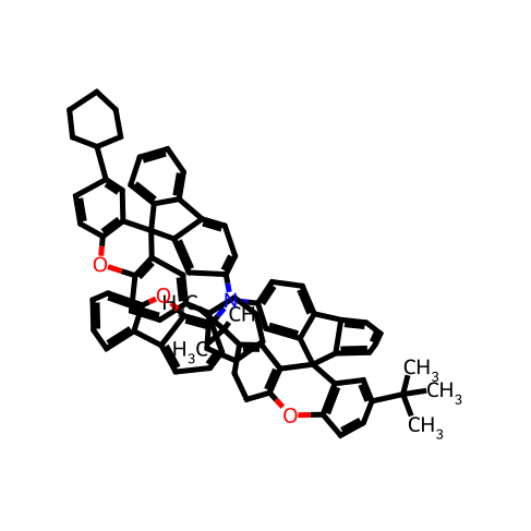 CC(C)(C)C1=CC2=C(CC1)Oc1ccc(C(C)(C)C)cc1C21c2ccccc2-c2ccc(N(c3ccc4c(c3)C3(c5cc(C6CCCCC6)ccc5Oc5ccc(C6CCCCC6)cc53)c3ccccc3-4)c3cccc4c3oc3ccccc34)cc21